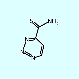 NC(=S)c1ccnnn1